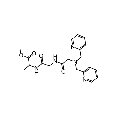 COC(=O)C(C)NC(=O)CNC(=O)CN(Cc1ccccn1)Cc1ccccn1